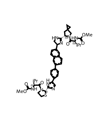 COC(=O)N[C@H](C(=O)N1CC2(CC2)C[C@H]1C1=NC(c2ccc3cc(-c4ccc(-c5cnc([C@@H]6SCCN6C(=O)[C@@H](NC(=O)OC)C(C)C)[nH]5)cc4)ccc3c2)CN1)C(C)C